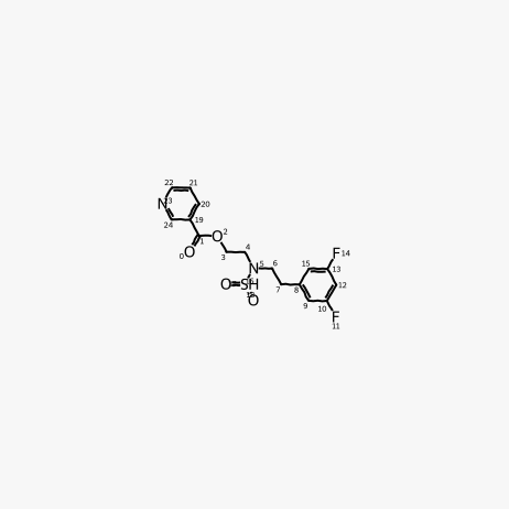 O=C(OCCN(CCc1cc(F)cc(F)c1)[SH](=O)=O)c1cccnc1